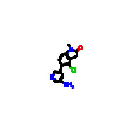 CN1C(=O)Cc2c1ccc(-c1cncc(N)c1)c2Cl